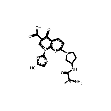 C[C@H](N)C(=O)NC1CCN(c2ccc3c(=O)c(C(=O)O)cn(-c4nccs4)c3n2)C1.Cl